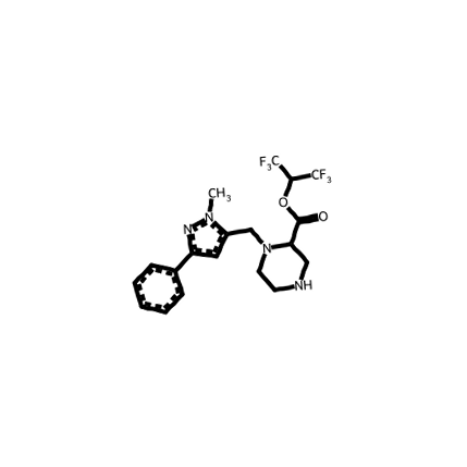 Cn1nc(-c2ccccc2)cc1CN1CCNCC1C(=O)OC(C(F)(F)F)C(F)(F)F